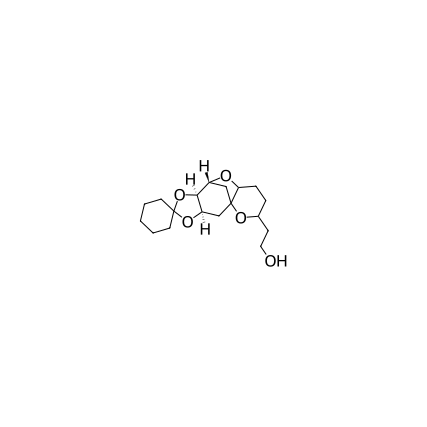 OCCC1CCC2O[C@@H]3CC2(C[C@H]2OC4(CCCCC4)O[C@@H]32)O1